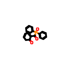 O=C1CC=CC=C1C(=O)P(=O)(c1ccccc1)c1ccccc1